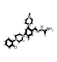 CN1CCN(c2cc(N3CCN(c4ccccc4Cl)CC3)c(F)cc2C=NNC(N)=S)CC1